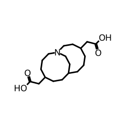 O=C(O)CC1CCCN2CCC(CCCC(CC(=O)O)CC2)CC1